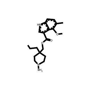 BN1CCC(CCC)(COC(=O)c2c[nH]c3ccc(C)c(OC)c23)CC1